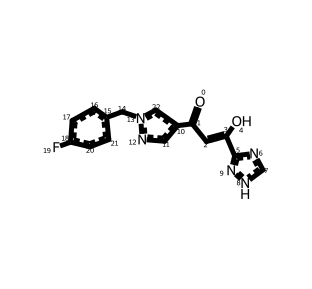 O=C(C=C(O)c1nc[nH]n1)c1cnn(Cc2ccc(F)cc2)c1